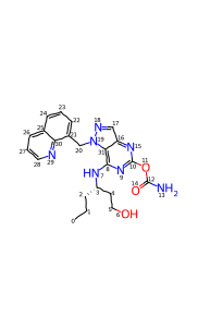 CCC[C@@H](CCO)Nc1nc(OC(N)=O)nc2cnn(Cc3cccc4cccnc34)c12